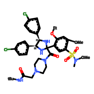 CCOc1cc(OC)c(S(=O)(=O)N(C)OC)cc1C1(C(=O)N2CCN(CC(=O)NC(C)(C)C)CC2)N[C@H](c2ccc(Cl)cc2)[C@H](c2ccc(Cl)cc2)N1